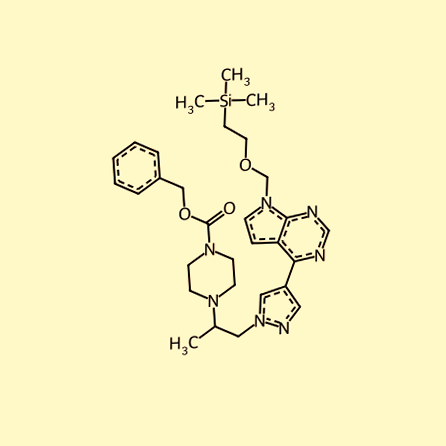 CC(Cn1cc(-c2ncnc3c2ccn3COCC[Si](C)(C)C)cn1)N1CCN(C(=O)OCc2ccccc2)CC1